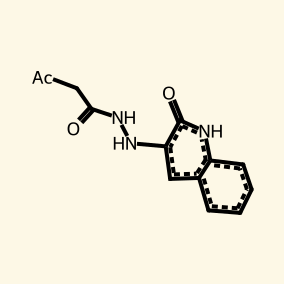 CC(=O)CC(=O)NNc1cc2ccccc2[nH]c1=O